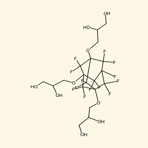 OCC(O)COC12C(F)(F)C3(F)C(F)(F)C(OCC(O)CO)(C1(F)F)C(F)(F)C(OCC(O)CO)(C3(F)F)C2(F)F